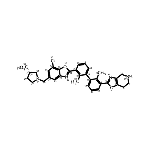 Cc1c(-c2nc3c(o2)CCNC3)cccc1-c1cccc(-c2nc3cc(CN4CC[C@H](C(=O)O)C4)cc(Cl)c3o2)c1C